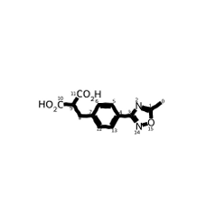 Cc1nc(-c2ccc(CC(C(=O)O)C(=O)O)cc2)no1